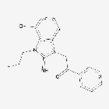 CCCn1c(=N)n(CC(=O)c2ccccc2)c2cccc(Cl)c21